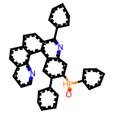 O=[PH](c1ccccc1)c1cc2nc(-c3ccccc3)c3ccc4ccc5cccnc5c4c3c2cc1-c1ccccc1